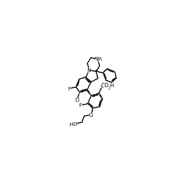 O=C(O)c1ccc(OCCO)c(F)c1-c1c(Cl)c(F)cc2c1CC1(c3ccccc3)CNCCN21